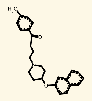 Cc1ccc(C(=O)CCCN2CCC(Oc3ccc4ccccc4c3)CC2)cc1